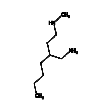 CCCCC(CN)CCNC